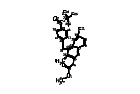 COC(=O)Cc1cc2ccc(F)cc2c(Cc2ccc([S+]([O-])C(F)(F)F)cc2)c1C